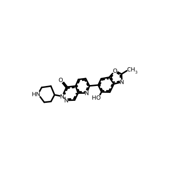 Cc1nc2cc(O)c(-c3ccc4c(=O)n(C5CCNCC5)ncc4n3)cc2o1